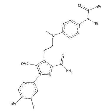 CCCC(=O)N(CC)c1ccc(N(C)CCc2c(C(N)=O)nn(-c3ccc(CCC)c(F)c3)c2C=O)cc1